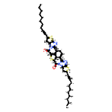 CCCCCCCCC#Cc1cc2c(nc3c4ccc5c6c(sc(c(=O)n23)c46)c(=O)n2c3cc(C#CCCCCCCCC)sc3nc52)s1